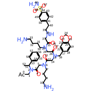 CC(=O)CN(C(=O)CN(CCCCN)C(=O)CN(Cc1ccc2c(c1)OCO2)C(=O)CN(CCCCN)C(=O)CNCCc1ccc(S(N)(=O)=O)cc1)C(C)c1ccccc1